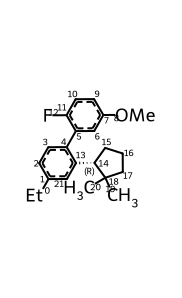 CCc1ccc(-c2cc(OC)ccc2F)c([C@@H]2CCCC2(C)C)c1